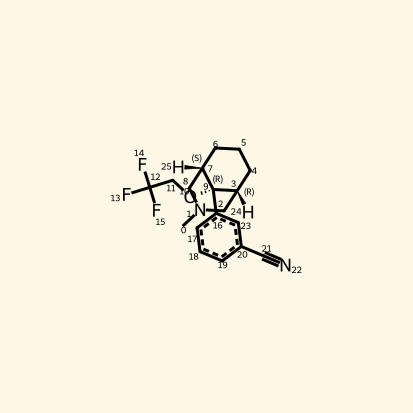 CN1C[C@H]2CCC[C@@H](C1)[C@]2(OCC(F)(F)F)c1cccc(C#N)c1